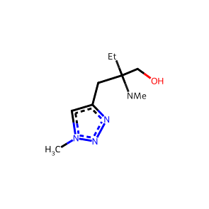 CCC(CO)(Cc1cn(C)nn1)NC